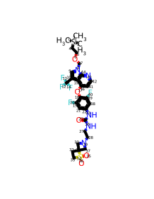 C[Si](C)(C)CCOCn1cc(C(F)(F)F)c2c(Oc3c(F)cc(NC(=O)NCCN4CC5(CCS5(=O)=O)C4)cc3F)ccnc21